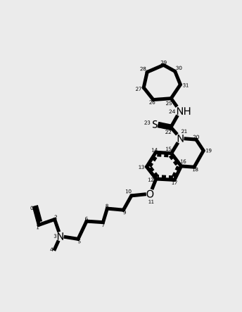 C=CCN(C)CCCCCCOc1ccc2c(c1)CCCN2C(=S)NC1CCCCCC1